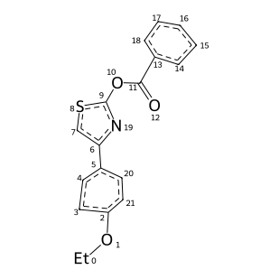 CCOc1ccc(-c2csc(OC(=O)c3ccccc3)n2)cc1